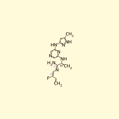 C=C/C(F)=C\N=C(/N)[C@H](C)Nc1cncc(Nc2cc(C)[nH]n2)n1